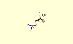 CC/C(=C\CN(C)C)C(=O)O